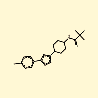 CC(C)(F)C(=O)NC1CCC(n2cnc(-c3ccc(Cl)cc3)c2)CC1